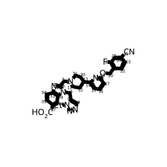 CCn1nncc1Cn1c(CN2CCC(c3cccc(OCc4ccc(C#N)cc4F)n3)CC2)nc2ccc(C(=O)O)cc21